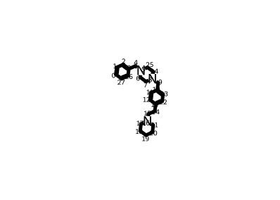 c1ccc(CN2CCN(Cc3ccc(CCN4CCCCC4)cc3)CC2)cc1